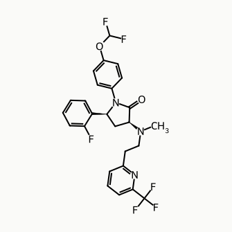 CN(CCc1cccc(C(F)(F)F)n1)[C@H]1C[C@@H](c2ccccc2F)N(c2ccc(OC(F)F)cc2)C1=O